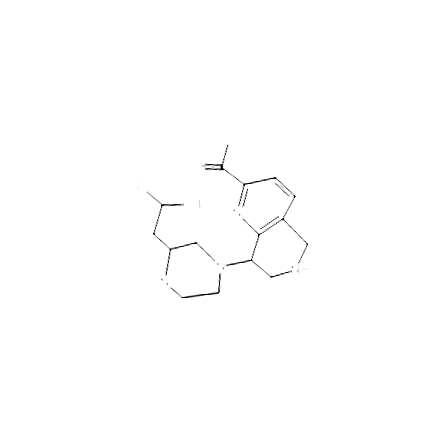 CC(C)CC1CN(C2CNCc3ccc(C(=O)O)nc32)CCN1